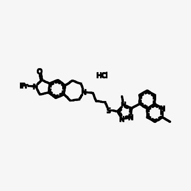 Cc1ccc2c(-c3nnc(SCCCN4CCc5cc6c(cc5CC4)C(=O)N(C(C)C)C6)n3C)cccc2n1.Cl